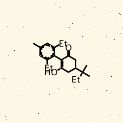 CCc1cc(C)cc(CC)c1C1=C(O)CC(C(C)(C)CC)CC1=O